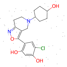 Oc1cc(O)c(-c2onc3c2CN(C2CCC(O)CC2)CC3)cc1Cl